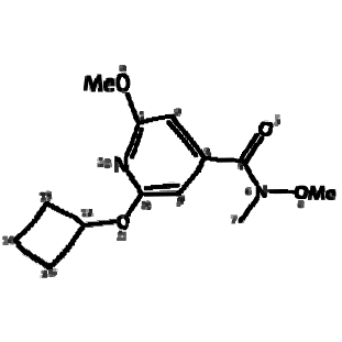 COc1cc(C(=O)N(C)OC)cc(OC2CCC2)n1